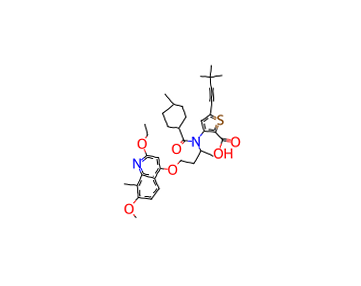 CCOc1cc(OCCC(C)N(C(=O)C2CCC(C)CC2)c2cc(C#CC(C)(C)C)sc2C(=O)O)c2ccc(OC)c(C)c2n1